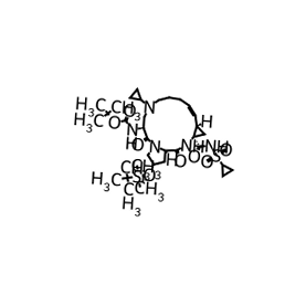 CC(C)(C)OC(=O)N[C@H]1CN(C2CC2)CCC/C=C\[C@@H]2C[C@@]2(C(=O)NS(=O)(=O)C2CC2)NC(=O)[C@@H]2C[C@@H](O[Si](C)(C)C(C)(C)C)CN2C1=O